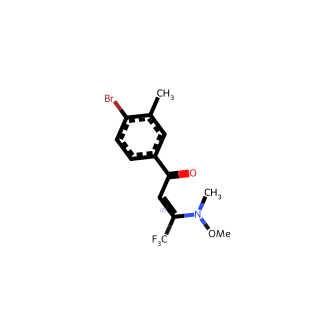 CON(C)/C(=C\C(=O)c1ccc(Br)c(C)c1)C(F)(F)F